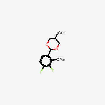 CCCCCCCCCC1COC(c2ccc(F)c(F)c2OC)OC1